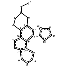 ICC1CCc2c(ccc3c2ccc2ccccc23)C1.c1ccoc1